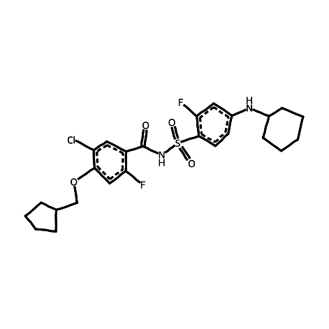 O=C(NS(=O)(=O)c1ccc(NC2CCCCC2)cc1F)c1cc(Cl)c(OCC2CCCC2)cc1F